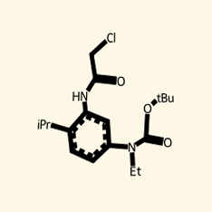 CCN(C(=O)OC(C)(C)C)c1ccc(C(C)C)c(NC(=O)CCl)c1